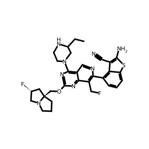 CCC1CN(c2nc(OC[C@@]34CCCN3C[C@H](F)C4)nc3c(CF)c(-c4cccc5sc(N)c(C#N)c45)ncc23)CCN1